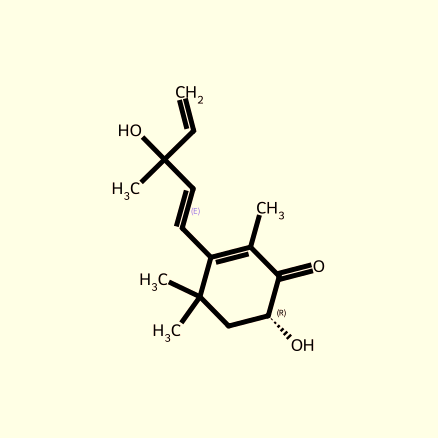 C=CC(C)(O)/C=C/C1=C(C)C(=O)[C@H](O)CC1(C)C